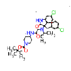 CC(C)N(CC(=O)NC1CCN(C(=O)OC(C)(C)C)CC1)C1(Cc2cccc(Cl)c2)C(=O)Nc2cc(Cl)ccc21